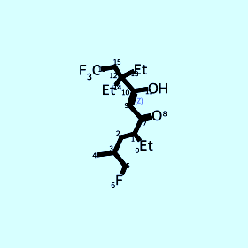 CCC(CC(C)CF)C(=O)/C=C(\O)C(CC)(CC)CC(F)(F)F